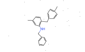 Cc1ccc(Cc2ccc(C)cc2NCc2ccccc2)cc1